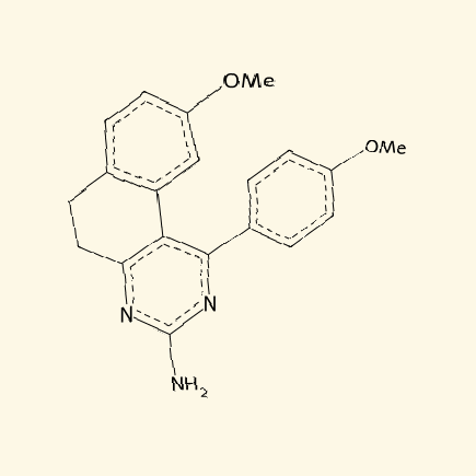 COc1ccc(-c2nc(N)nc3c2-c2cc(OC)ccc2CC3)cc1